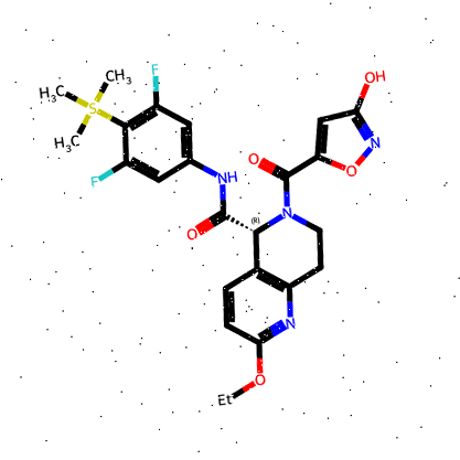 CCOc1ccc2c(n1)CCN(C(=O)c1cc(O)no1)[C@H]2C(=O)Nc1cc(F)c(S(C)(C)C)c(F)c1